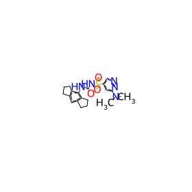 CN(C)c1cc(S(=O)(=O)NC(=O)Nc2c3c(cc4c2CCC4)CCC3)cnn1